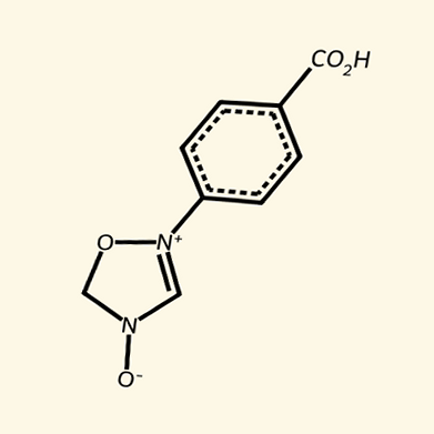 O=C(O)c1ccc([N+]2=CN([O-])CO2)cc1